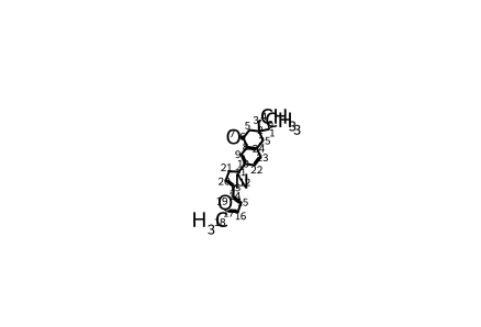 CCC1(CC)CC(=O)c2cc(C3=NC(c4ccc(C)o4)=CC3)ccc2C1